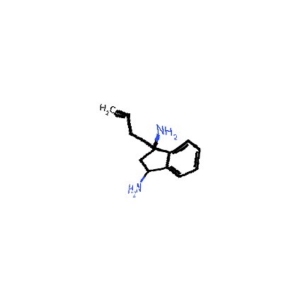 C=CCC1(N)CC(N)c2ccccc21